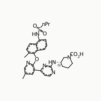 CCCS(=O)(=O)Nc1cccc2c(Oc3ncc(C)cc3-c3ccnc(N[C@H]4CCCN(C(=O)O)C4)n3)c(C)ccc12